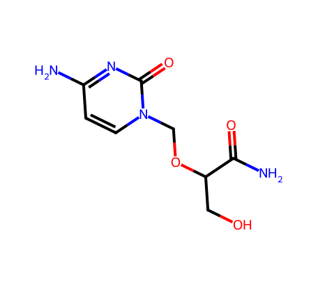 NC(=O)C(CO)OCn1ccc(N)nc1=O